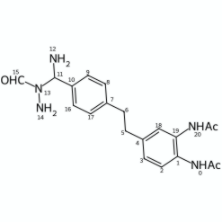 CC(=O)Nc1ccc(CCc2ccc(C(N)N(N)C=O)cc2)cc1NC(C)=O